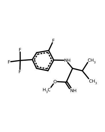 COC(=N)C(Nc1ccc(C(F)(F)F)cc1F)C(C)C